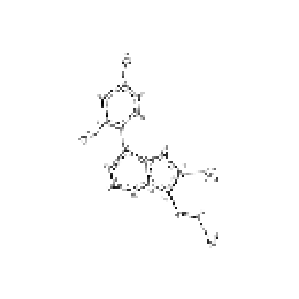 Cn1nc2c(-c3ccc(Cl)cc3Cl)cccc2c1C=CC#N